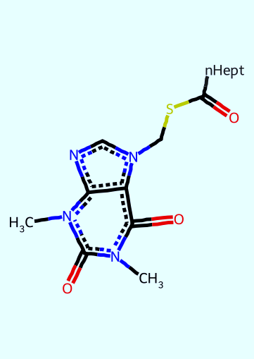 CCCCCCCC(=O)SCn1cnc2c1c(=O)n(C)c(=O)n2C